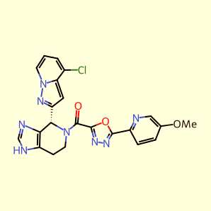 COc1ccc(-c2nnc(C(=O)N3CCc4[nH]cnc4[C@@H]3c3cc4c(Cl)cccn4n3)o2)nc1